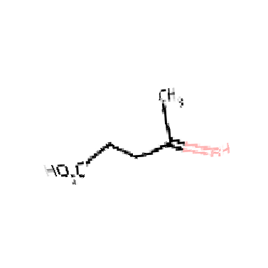 B=C(C)CCC(=O)O